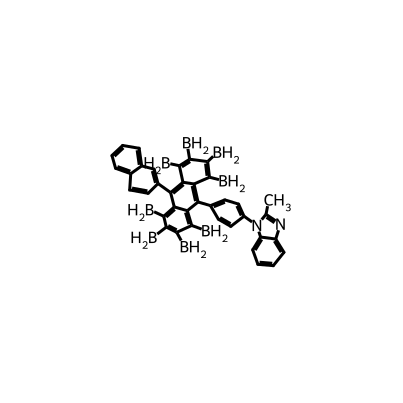 Bc1c(B)c(B)c2c(-c3ccc4ccccc4c3)c3c(B)c(B)c(B)c(B)c3c(-c3ccc(-n4c(C)nc5ccccc54)cc3)c2c1B